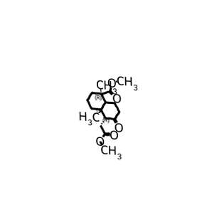 COC(=O)C[C@H]1C(=O)CCC2[C@](C)(C(=O)OC)CCC[C@@]21C